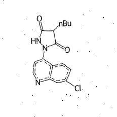 CCCCC1C(=O)NN(c2ccnc3cc(Cl)ccc23)C1=O